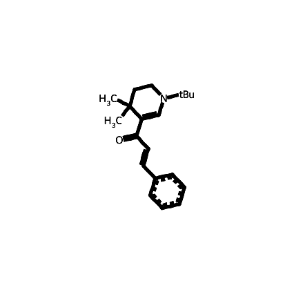 CC1(C)CCN(C(C)(C)C)C=C1C(=O)/C=C/c1ccccc1